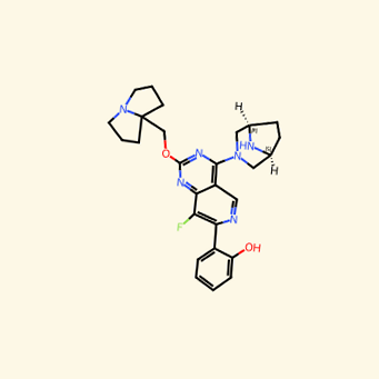 Oc1ccccc1-c1ncc2c(N3C[C@H]4CC[C@@H](C3)N4)nc(OCC34CCCN3CCC4)nc2c1F